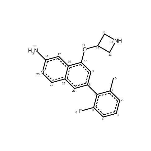 Cc1cccc(F)c1-c1cc(OC2CNC2)c2cc(N)ncc2c1